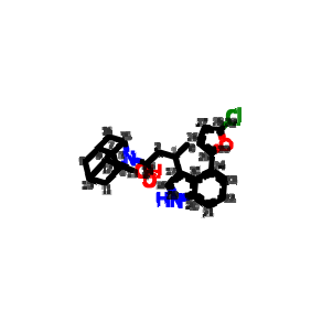 CC(CC(=O)N1C2CC3CC(C2)C(CO)C1C3)c1c[nH]c2cccc(-c3ccc(Cl)o3)c12